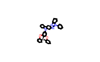 c1ccc(-n2c3ccccc3n3c4cc5c6ccccc6n(-c6cc7c8c(c6)Oc6ccccc6B8c6ccccc6O7)c5cc4nc23)cc1